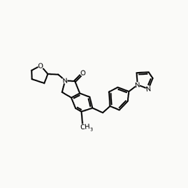 Cc1cc2c(cc1Cc1ccc(-n3cccn3)cc1)C(=O)N(CC1CCCO1)C2